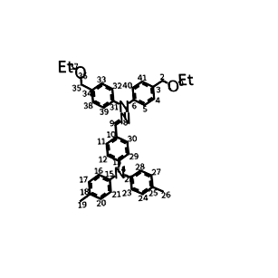 CCOCc1ccc(N(N=Cc2ccc(N(c3ccc(C)cc3)c3ccc(C)cc3)cc2)c2ccc(COCC)cc2)cc1